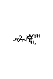 CCOC(=O)CCCc1ccc(CO)cc1N